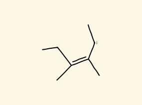 C[C]C(C)=C(C)CC